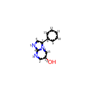 Oc1cnc2ncc(-c3ccccc3)n2c1